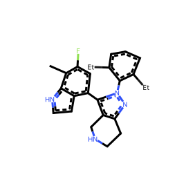 CCc1cccc(CC)c1-n1nc2c(c1-c1cc(F)c(C)c3[nH]ccc13)CNCC2